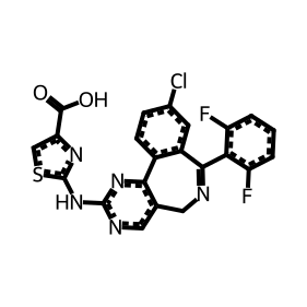 O=C(O)c1csc(Nc2ncc3c(n2)-c2ccc(Cl)cc2C(c2c(F)cccc2F)=NC3)n1